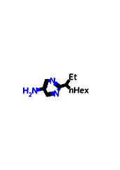 CCCCCCC(CC)c1ncc(N)cn1